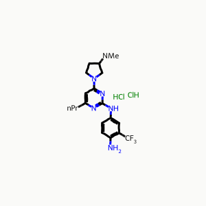 CCCc1cc(N2CCC(NC)C2)nc(Nc2ccc(N)c(C(F)(F)F)c2)n1.Cl.Cl